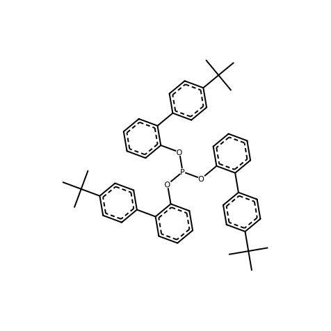 CC(C)(C)c1ccc(-c2ccccc2OP(Oc2ccccc2-c2ccc(C(C)(C)C)cc2)Oc2ccccc2-c2ccc(C(C)(C)C)cc2)cc1